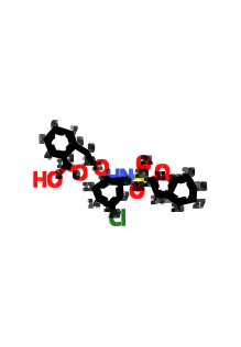 O=C(O)c1ccccc1CCOc1ccc(Cl)cc1NS(=O)(=O)c1cc2ccccc2o1